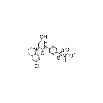 COC(=O)NS(=O)(=O)c1ccc(NC(=O)[C@H](CCO)N2CCCc3cc(Cl)ccc32)cc1